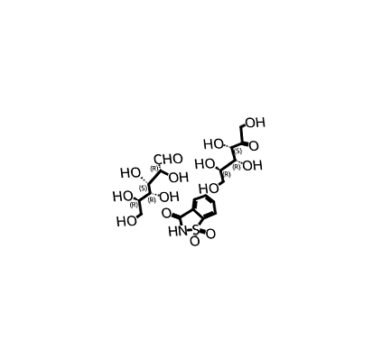 O=C(CO)[C@@H](O)[C@H](O)[C@H](O)CO.O=C1NS(=O)(=O)c2ccccc21.O=C[C@H](O)[C@@H](O)[C@H](O)[C@H](O)CO